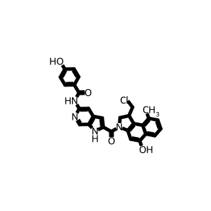 Cc1cccc2c(O)cc3c(c12)C(CCl)CN3C(=O)c1cc2cc(NC(=O)c3ccc(O)cc3)ncc2[nH]1